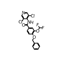 O=C(Nc1c(Cl)cncc1Cl)c1ccc(OCc2ccccc2)c(OC(F)F)c1